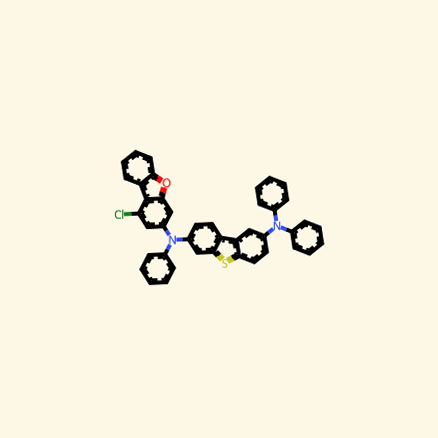 Clc1cc(N(c2ccccc2)c2ccc3c(c2)sc2ccc(N(c4ccccc4)c4ccccc4)cc23)cc2oc3ccccc3c12